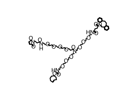 O=C(CCC(=O)N1Cc2ccccc2CCc2ccccc21)NCCOCCOCCOCCN(CCOCCOCCOCCNC(=O)O[C@H]1CC/C=C/CCC1)C(=O)CCOCCOCCOCCOCCNC(=O)CCN1C(=O)C=CC1=O